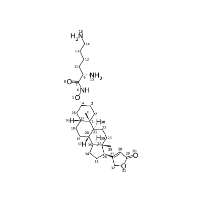 C[C@]12CC[C@@H](ONC(=O)[C@@H](N)CCCCN)C[C@H]1CC[C@@H]1[C@@H]2CC[C@]2(C)[C@@H](C3=CC(=O)OC3)CC[C@@H]12